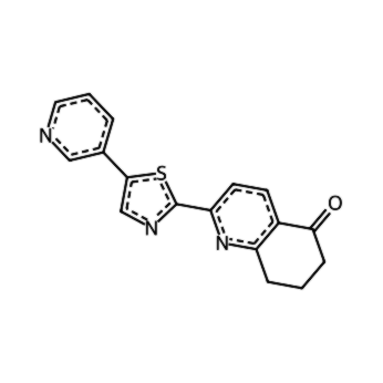 O=C1CCCc2nc(-c3ncc(-c4cccnc4)s3)ccc21